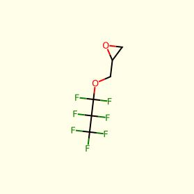 FC(F)(F)C(F)(F)C(F)(F)OCC1CO1